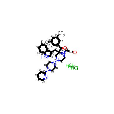 Cl.Cl.Cl.O=C=CN1CCN(N2CCN(c3ccccn3)CC2)CC1(Cc1c[nH]c2ccccc12)C(=O)c1cc(C(F)(F)F)cc(C(F)(F)F)c1